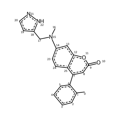 Cc1ccccc1-c1cc(=O)oc2cc(N(C)Cc3ccn[nH]3)ccc12